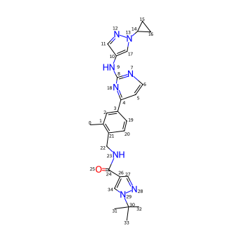 Cc1cc(-c2ccnc(Nc3cnn(C4CC4)c3)n2)ccc1CNC(=O)c1cnn(C(C)(C)C)c1